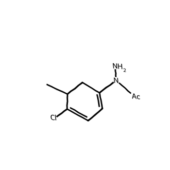 CC(=O)N(N)C1=CC=C(Cl)C(C)C1